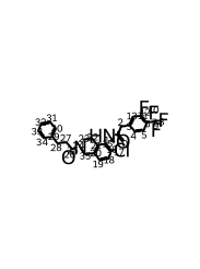 O=C(Cc1ccc(C(F)(F)F)c(F)c1)Nc1c(Cl)ccc2c1CCN(C(=O)CCc1ccccc1)C2